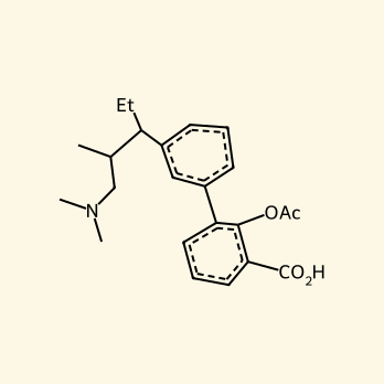 CCC(c1cccc(-c2cccc(C(=O)O)c2OC(C)=O)c1)C(C)CN(C)C